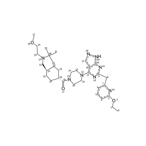 CCOc1cccc(Cc2nc(N3CCN(C(=O)[C@H]4CC[C@H](CN(CCOC)C(C)(C)C)CC4)CC3)c3cn[nH]c3n2)n1